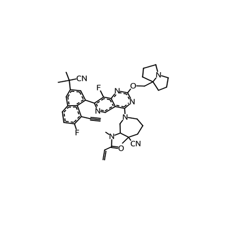 C#Cc1c(F)ccc2cc(C(C)(C)C#N)cc(-c3ncc4c(N5CCCC(C)(C#N)C(N(C)C(=O)C=C)C5)nc(OCC56CCCN5CCC6)nc4c3F)c12